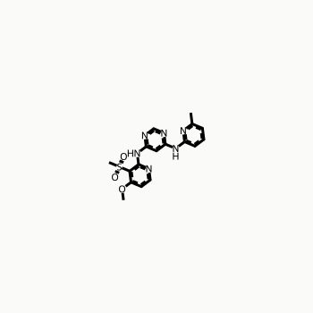 COc1ccnc(Nc2cc(Nc3cccc(C)n3)ncn2)c1S(C)(=O)=O